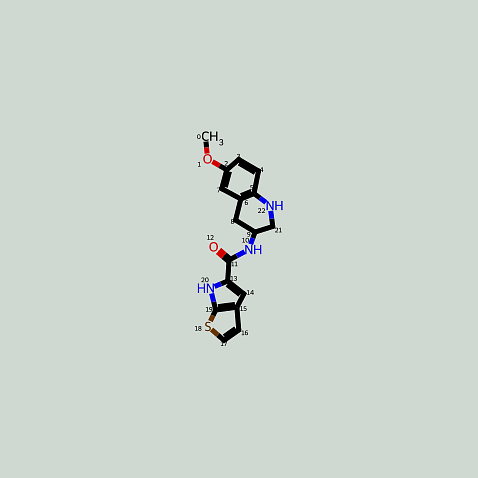 COc1ccc2c(c1)CC(NC(=O)c1cc3ccsc3[nH]1)CN2